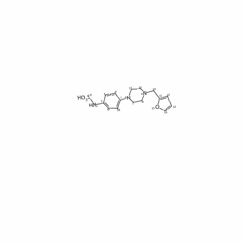 O=S(=O)(O)Nc1ccc(N2CCN(Cc3ccco3)CC2)cc1